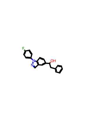 OC(Cc1ccccc1)c1ccc2c(cnn2-c2ccc(F)cc2)c1